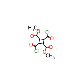 COC(=O)C1C(C(=O)Cl)C(C(=O)OC)C1C(=O)Cl